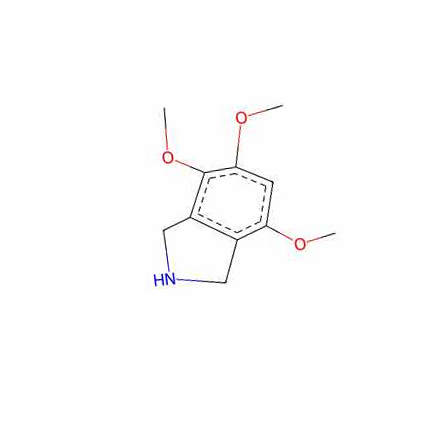 COc1cc(OC)c(OC)c2c1CNC2